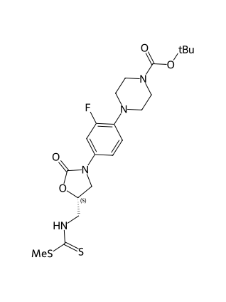 CSC(=S)NC[C@H]1CN(c2ccc(N3CCN(C(=O)OC(C)(C)C)CC3)c(F)c2)C(=O)O1